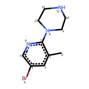 Cc1cc(Br)cnc1N1CCNCC1